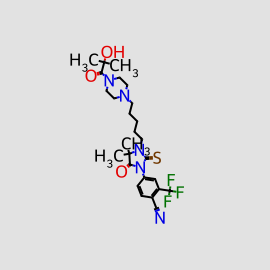 CC(C)(O)C(=O)N1CCN(CCCCCN2C(=S)N(c3ccc(C#N)c(C(F)(F)F)c3)C(=O)C2(C)C)CC1